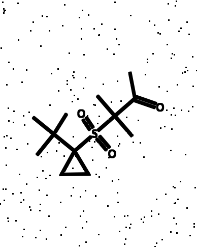 CC(=O)C(C)(C)S(=O)(=O)C1(C(C)(C)C)CC1